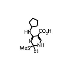 CCC1(SC)N=C(NC2CCCC2)C(C(=O)O)=CN1